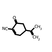 C=C(C)C1CC=C(C#N)C(=O)C1